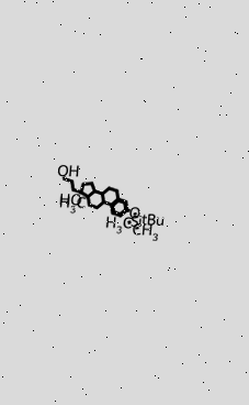 CC(C)(C)[Si](C)(C)Oc1ccc2c(c1)CCC1C2CC[C@@]2(C)C1CC[C@@]2(O)CCCO